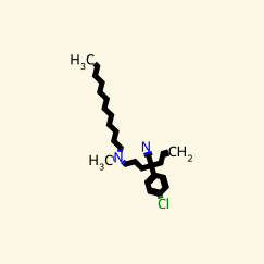 C=CCC(C#N)(CCCN(C)CCCCCCCCCCCC)c1ccc(Cl)cc1